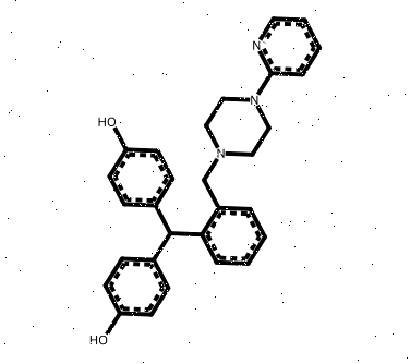 Oc1ccc(C(c2ccc(O)cc2)c2ccccc2CN2CCN(c3ccccn3)CC2)cc1